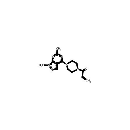 C=CC(=O)N1CCN(c2nc(C)nc3c2cnn3C)CC1